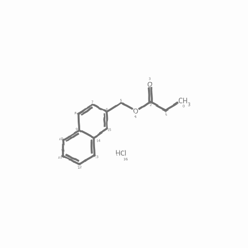 CCC(=O)OCc1ccc2ccccc2c1.Cl